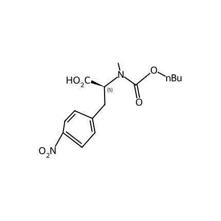 CCCCOC(=O)N(C)[C@@H](Cc1ccc([N+](=O)[O-])cc1)C(=O)O